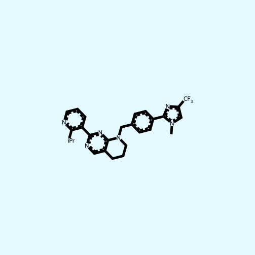 CC(C)c1ncccc1-c1ncc2c(n1)N(Cc1ccc(-c3nc(C(F)(F)F)cn3C)cc1)CCC2